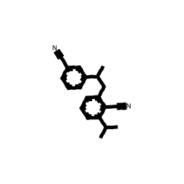 CC(C)c1cccc(CC(C)c2cccc(C#N)c2)c1C#N